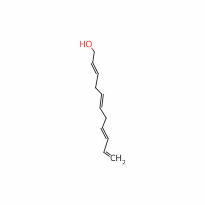 C=CC=CCC=CCC=CCO